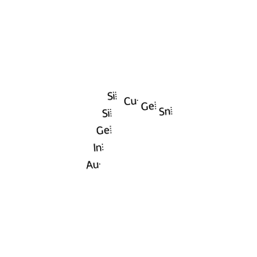 [Au].[Cu].[Ge].[Ge].[In].[Si].[Si].[Sn]